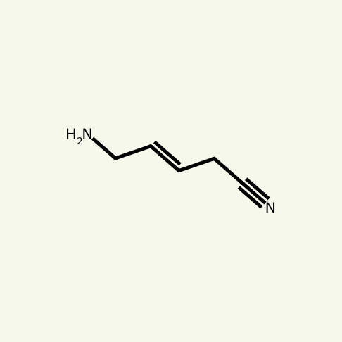 N#CC/C=C/CN